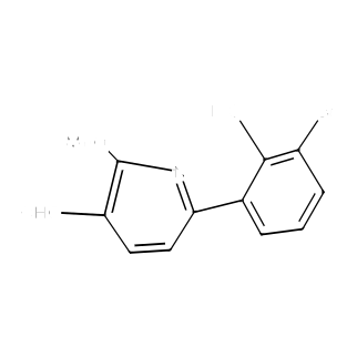 COc1nc(-c2cccc(Br)c2C(F)(F)F)ccc1C=O